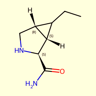 CCC1[C@@H]2[C@@H](C(N)=O)NC[C@H]12